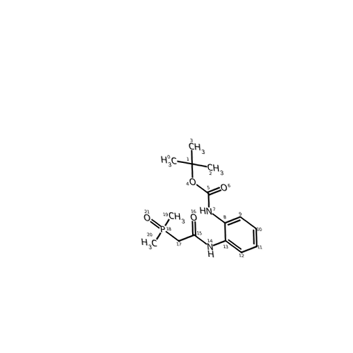 CC(C)(C)OC(=O)Nc1ccccc1NC(=O)CP(C)(C)=O